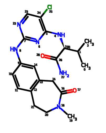 CC(C)[C@@H](Nc1nc(Nc2ccc3c(c2)CC(=O)N(C)CC3)ncc1Cl)C(N)=O